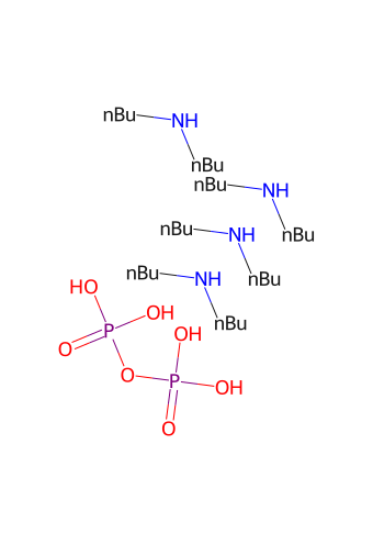 CCCCNCCCC.CCCCNCCCC.CCCCNCCCC.CCCCNCCCC.O=P(O)(O)OP(=O)(O)O